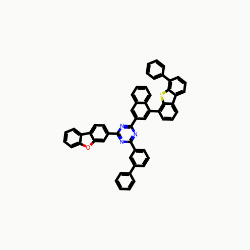 c1ccc(-c2cccc(-c3nc(-c4cc(-c5cccc6c5sc5c(-c7ccccc7)cccc56)c5ccccc5c4)nc(-c4ccc5c(c4)oc4ccccc45)n3)c2)cc1